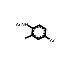 CC(=O)Nc1ccc(C(C)=O)cc1C